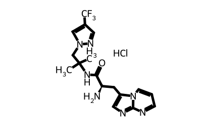 CC(C)(Cn1cc(C(F)(F)F)cn1)NC(=O)[C@H](N)Cc1cnc2ncccn12.Cl